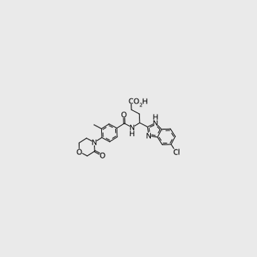 Cc1cc(C(=O)NC(CCC(=O)O)c2nc3cc(Cl)ccc3[nH]2)ccc1N1CCOCC1=O